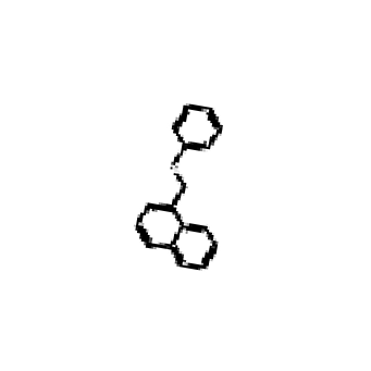 [c]1ccccc1OCc1cccc2ccccc12